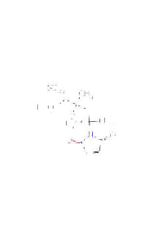 CC(C)(CC(C)(C)N1C(=O)C=CC1=O)C(C(=O)O)S(=O)(=O)O